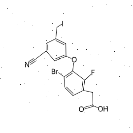 N#Cc1cc(CI)cc(Oc2c(Br)ccc(CC(=O)O)c2F)c1